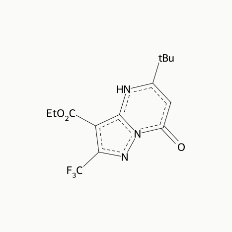 CCOC(=O)c1c(C(F)(F)F)nn2c(=O)cc(C(C)(C)C)[nH]c12